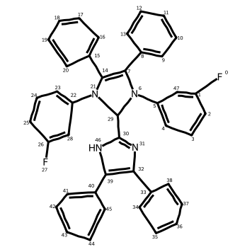 Fc1cccc(N2C(c3ccccc3)=C(c3ccccc3)N(c3cccc(F)c3)C2c2nc(-c3ccccc3)c(-c3ccccc3)[nH]2)c1